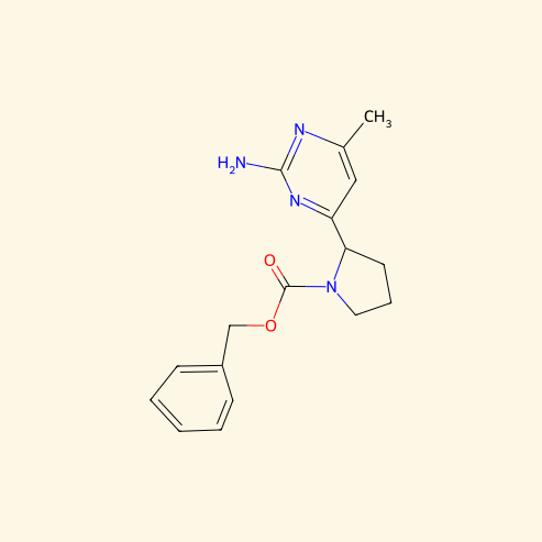 Cc1cc(C2CCCN2C(=O)OCc2ccccc2)nc(N)n1